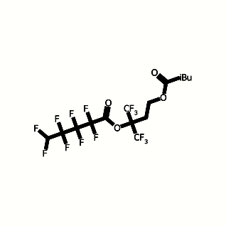 CCC(C)C(=O)OCCC(OC(=O)C(F)(F)C(F)(F)C(F)(F)C(F)F)(C(F)(F)F)C(F)(F)F